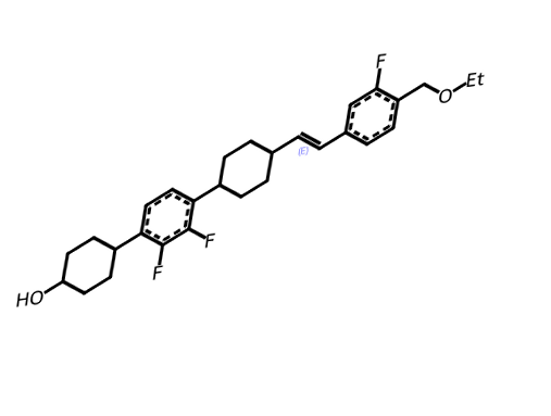 CCOCc1ccc(/C=C/C2CCC(c3ccc(C4CCC(O)CC4)c(F)c3F)CC2)cc1F